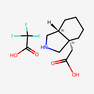 O=C(O)C(F)(F)F.O=C(O)C[C@@]12CCCC[C@H]1CNC2